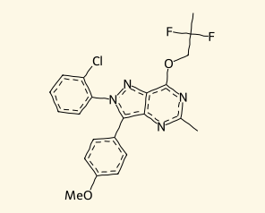 COc1ccc(-c2c3nc(C)nc(OCC(C)(F)F)c3nn2-c2ccccc2Cl)cc1